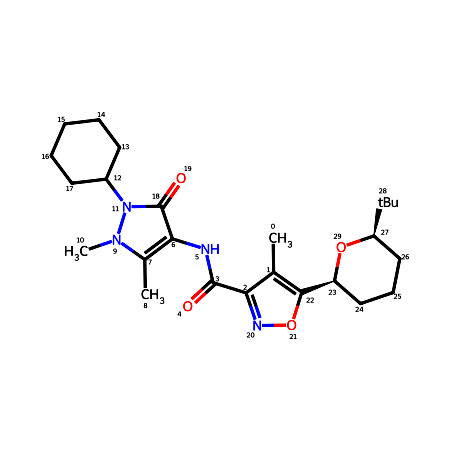 Cc1c(C(=O)Nc2c(C)n(C)n(C3CCCCC3)c2=O)noc1[C@@H]1CCC[C@H](C(C)(C)C)O1